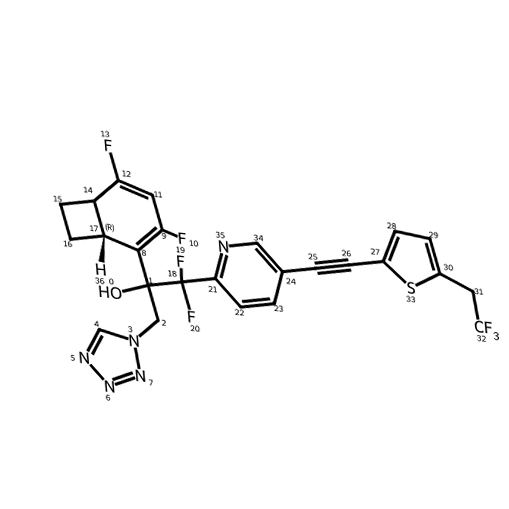 OC(Cn1cnnn1)(C1=C(F)C=C(F)C2CC[C@@H]12)C(F)(F)c1ccc(C#Cc2ccc(CC(F)(F)F)s2)cn1